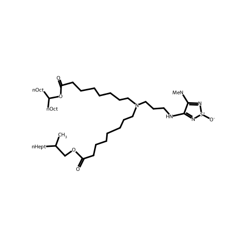 CCCCCCCCC(CCCCCCCC)OC(=O)CCCCCCCN(CCCCCCCC(=O)OCC(C)CCCCCCC)CCCNc1n[s+]([O-])nc1NC